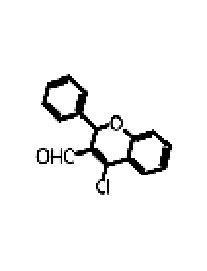 O=CC1=C(Cl)c2ccccc2OC1c1ccccc1